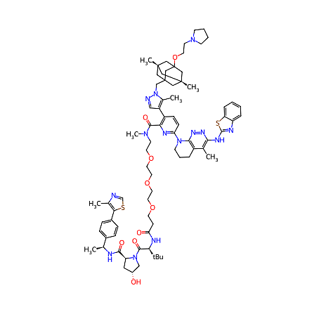 Cc1ncsc1-c1ccc([C@H](C)NC(=O)[C@@H]2C[C@@H](O)CN2C(=O)[C@@H](NC(=O)CCOCCOCCOCCN(C)C(=O)c2nc(N3CCCc4c3nnc(Nc3nc5ccccc5s3)c4C)ccc2-c2cnn(CC34CC5(OCCN6CCCC6)C[C@](C)(C3)C[C@](C)(C4)C5)c2C)C(C)(C)C)cc1